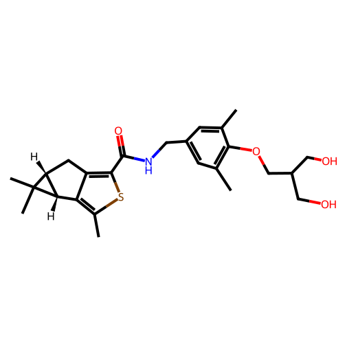 Cc1cc(CNC(=O)c2sc(C)c3c2C[C@@H]2[C@H]3C2(C)C)cc(C)c1OCC(CO)CO